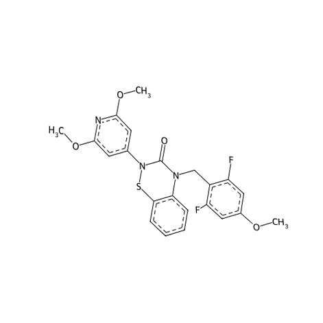 COc1cc(F)c(CN2C(=O)N(c3cc(OC)nc(OC)c3)Sc3ccccc32)c(F)c1